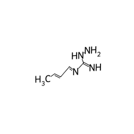 CC=CC=NC(=N)NN